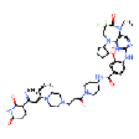 C=C/C(=C\C(=N/C)C1CCC(=O)NC1=O)N1CCN(CCC(=O)N2CCC(NC(=O)c3ccc(Nc4ncc5c(n4)N(C4CCCC4)CC(F)(F)C(=O)N5C)c(O)c3)CC2)CC1